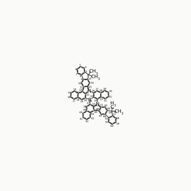 CC1(C)c2ccccc2-c2cc3c4c5ccccc5cc5c4n(c3cc21)-c1cc2ccccc2c2c1B5c1cc3ccccc3c3c4cc5c(cc4n-2c13)C(C)(C)c1ccccc1-5